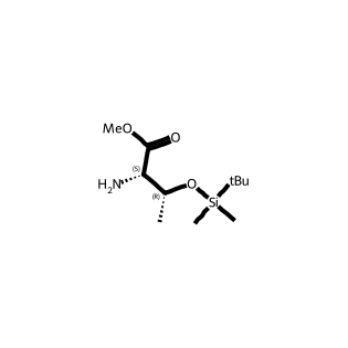 COC(=O)[C@@H](N)[C@@H](C)O[Si](C)(C)C(C)(C)C